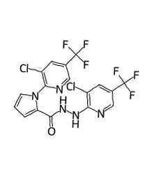 O=C(NNc1ncc(C(F)(F)F)cc1Cl)c1cccn1-c1ncc(C(F)(F)F)cc1Cl